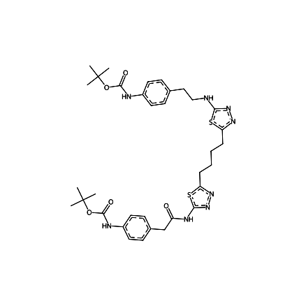 CC(C)(C)OC(=O)Nc1ccc(CCNc2nnc(CCCCc3nnc(NC(=O)Cc4ccc(NC(=O)OC(C)(C)C)cc4)s3)s2)cc1